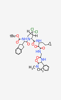 CN(C)C(=O)[C@@H](NC(=O)CNC(=O)C(=O)C(CCC1CC1)NC(=O)[C@@H]1[C@@H]2[C@H](CN1C(=O)[C@@H](NC(=O)OC(C)(C)C)C1Cc3ccccc3C1)C2(Cl)Cl)c1ccccc1